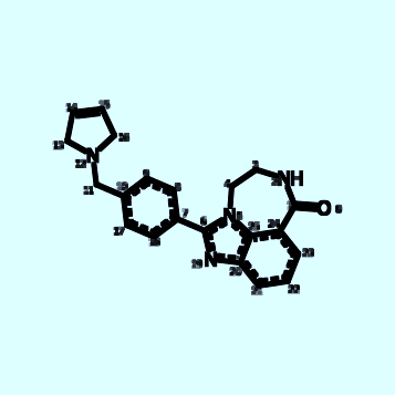 O=C1NCCn2c(-c3ccc(CN4CC=CC4)cc3)nc3cccc1c32